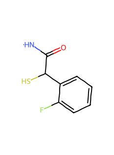 [NH]C(=O)C(S)c1ccccc1F